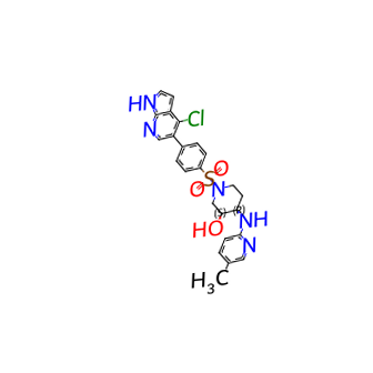 Cc1ccc(N[C@@H]2CCN(S(=O)(=O)c3ccc(-c4cnc5[nH]ccc5c4Cl)cc3)C[C@@H]2O)nc1